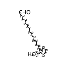 O=CCCCCCCCCCCCCCCCCCN1CCCCC1CCO